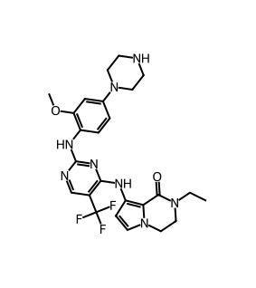 CCN1CCn2ccc(Nc3nc(Nc4ccc(N5CCNCC5)cc4OC)ncc3C(F)(F)F)c2C1=O